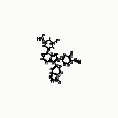 CN[C@@H]1C[C@H](F)CN(c2nccn3c(-c4ccc5c(c4)nnn5C)c(-c4ccc(C#N)c(F)c4)nc23)C1